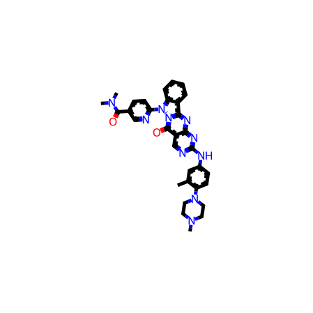 Cc1cc(Nc2ncc3c(=O)n4c(nc3n2)c2ccccc2n4-c2ccc(C(=O)N(C)C)cn2)ccc1N1CCN(C)CC1